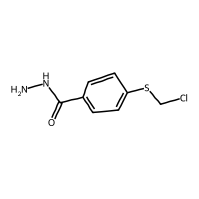 NNC(=O)c1ccc(SCCl)cc1